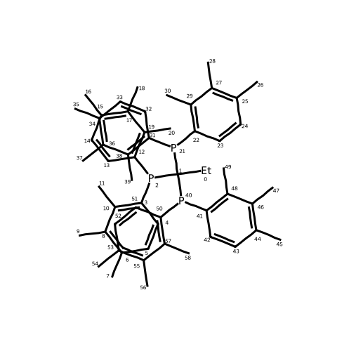 CCC(P(c1ccc(C)c(C)c1C)c1ccc(C)c(C)c1C)(P(c1ccc(C)c(C)c1C)c1ccc(C)c(C)c1C)P(c1ccc(C)c(C)c1C)c1ccc(C)c(C)c1C